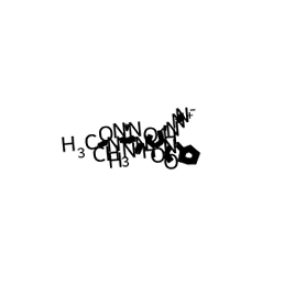 CC(C)C(=O)Nc1ncnc2c1ncn2[C@@H]1O[C@H](CN=[N+]=[N-])[C@@H]2[C@H]1OC(=O)N2Cc1ccccc1